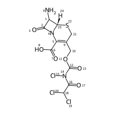 NC1C(=O)N2C(C(=O)O)=C(COC(=O)N(Cl)C(=O)C(Cl)Cl)CS[C@@H]12